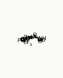 O=C1N[C@H](CCC(=O)N2CC3(C2)CN(S(=O)(=O)c2ccc(F)cc2C(F)(F)F)C3)CO1